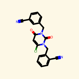 N#Cc1cccc(Cn2c(=O)cc(Cl)n(Cc3ccccc3C#N)c2=O)c1